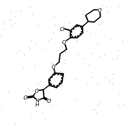 O=C1NC(=O)C(c2cccc(OCCCOc3ccc(C4CCOCC4)cc3Cl)c2)O1